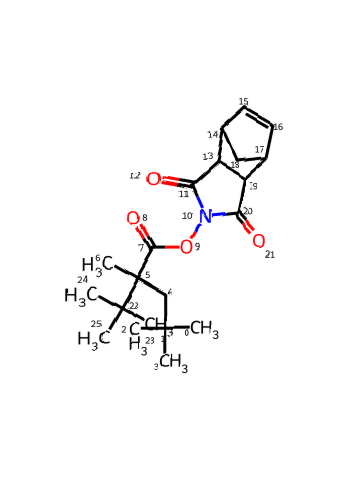 CC(C)(C)CC(C)(C(=O)ON1C(=O)C2C3C=CC(C3)C2C1=O)C(C)(C)C